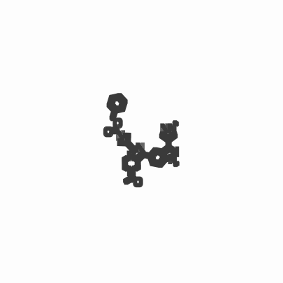 CC(=O)N1CCn2c(C3CN(C(=O)OCc4ccccc4)C3)nc(-c3ccc4c(c3)c(-c3cnn(C)c3)nn4C)c2C1